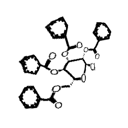 O=C(OC[C@H]1O[C@H](Cl)[C@@H](OC(=O)c2ccccc2)[C@@H](OC(=O)c2ccccc2)[C@@H]1OC(=O)c1ccccc1)c1ccccc1